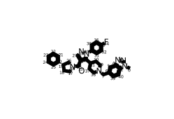 Cn1nnc2cc(CN3CCC(c4c(C(=O)N5CC[C@H](c6ccccc6)C5)cnn4-c4ccc(F)cc4)CC3)ccc21